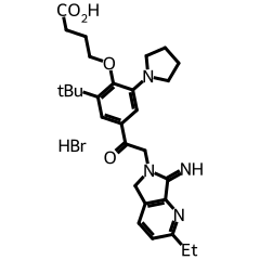 Br.CCc1ccc2c(n1)C(=N)N(CC(=O)c1cc(N3CCCC3)c(OCCCC(=O)O)c(C(C)(C)C)c1)C2